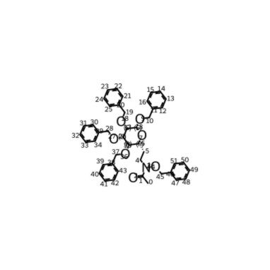 CC(=O)N(CC[C@H]1O[C@H](OCc2ccccc2)[C@@H](OCc2ccccc2)[C@@H](OCc2ccccc2)[C@@H]1OCc1ccccc1)OCc1ccccc1